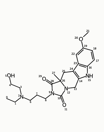 CCN(CCO)CCCN1C(=O)N2Cc3[nH]c4ccc(OC)cc4c3CC2(C)C1=O